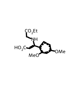 CCOC(=O)CN/C(=C\C(=O)O)c1ccc(OC)cc1OC